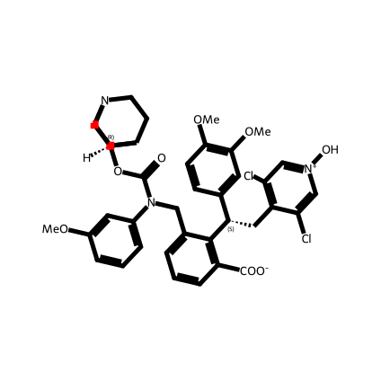 COc1cccc(N(Cc2cccc(C(=O)[O-])c2[C@@H](Cc2c(Cl)c[n+](O)cc2Cl)c2ccc(OC)c(OC)c2)C(=O)O[C@H]2CN3CCC2CC3)c1